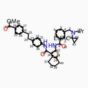 CCOC(=O)C1(N(Cc2cccc(C(=O)Nc3sc4c(c3C(=O)Nc3ccc(CCc5ccc(C(=O)OC)cc5)cc3)CCCC4)c2)C(C)C)CC1